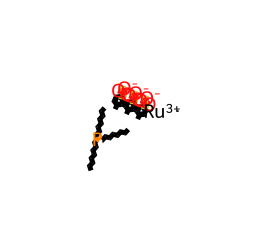 CCCCCCCCP(CCCCCCCC)CCCCCCCC.Cc1ccc(S(=O)(=O)[O-])cc1.Cc1ccc(S(=O)(=O)[O-])cc1.Cc1ccc(S(=O)(=O)[O-])cc1.[Ru+3]